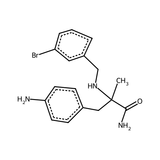 CC(Cc1ccc(N)cc1)(NCc1cccc(Br)c1)C(N)=O